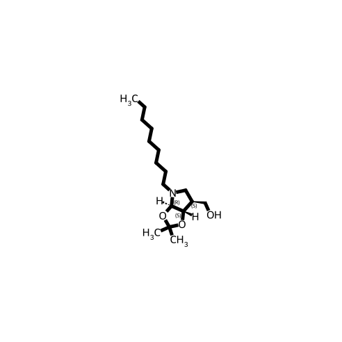 CCCCCCCCCN1C[C@@H](CO)[C@@H]2OC(C)(C)O[C@H]21